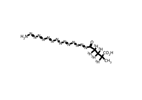 [2H]C([2H])(C(=O)/N=N/N=N/N=N/N=N/N=N/N=N/N=N/N)C([2H])([2H])C([2H])(C)C(=O)O